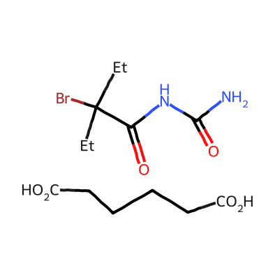 CCC(Br)(CC)C(=O)NC(N)=O.O=C(O)CCCCC(=O)O